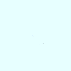 C=C(O)C[C@@H]1CC[C@@H](N(CCC2CCCCC2)CCC2CCCCC2)[C@H](C2CCCC2)C1